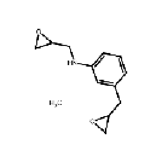 O.c1cc(CC2CO2)cc(NCC2CO2)c1